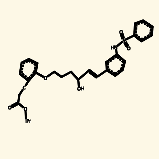 CC(C)OC(=O)CCc1ccccc1OCCCC(O)C=Cc1cccc(NS(=O)(=O)c2ccccc2)c1